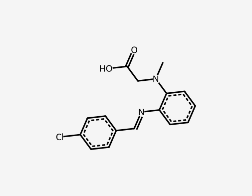 CN(CC(=O)O)c1ccccc1N=Cc1ccc(Cl)cc1